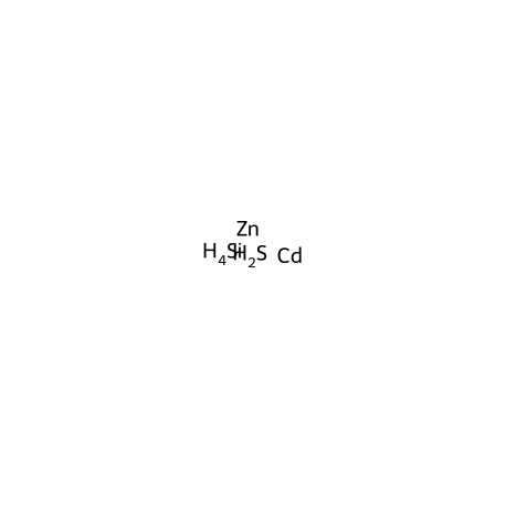 S.[Cd].[SiH4].[Zn]